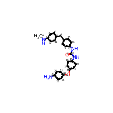 CNc1ccc(Cc2ccc(NC(=O)Nc3ccc(Oc4ccc(N)cc4)cc3)cc2)cc1